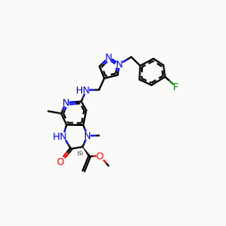 C=C(OC)[C@H]1C(=O)Nc2c(cc(NCc3cnn(Cc4ccc(F)cc4)c3)nc2C)N1C